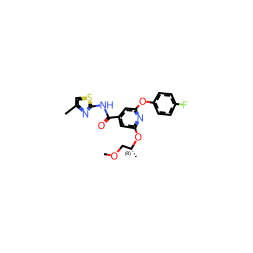 COC[C@@H](C)Oc1cc(C(=O)Nc2nc(C)cs2)cc(Oc2ccc(F)cc2)n1